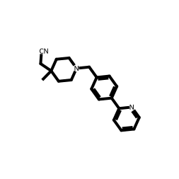 CC1(CC#N)CCN(Cc2ccc(-c3ccccn3)cc2)CC1